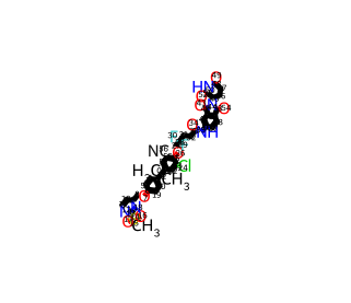 CC(C)(c1ccc(OCc2ccnc(S(C)(=O)=O)n2)cc1)c1cc(Cl)c(OCC(F)(F)CCC(=O)Nc2ccc3c(c2)C(=O)N(C2CCC(=O)NC2=O)C3=O)c(C#N)c1